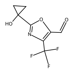 O=Cc1oc(C2(O)CC2)nc1C(F)(F)F